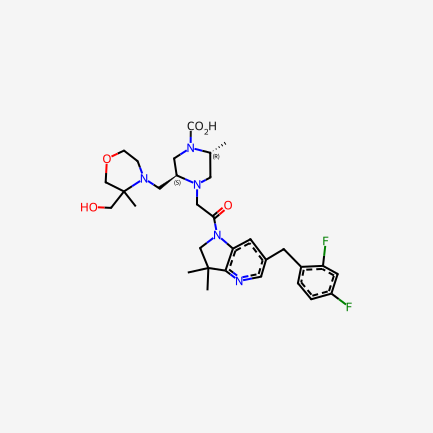 C[C@@H]1CN(CC(=O)N2CC(C)(C)c3ncc(Cc4ccc(F)cc4F)cc32)[C@@H](CN2CCOCC2(C)CO)CN1C(=O)O